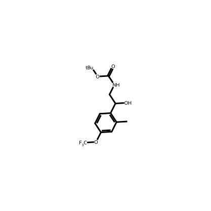 Cc1cc(OC(F)(F)F)ccc1C(O)CNC(=O)OC(C)(C)C